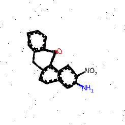 Nc1cc2ccc3c(c2cc1[N+](=O)[O-])C(=O)c1ccccc1C3